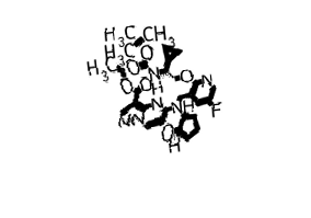 CCOC(=O)c1cnn2cc3c(nc12)N(Cc1cc(F)cnc1OC[C@H](NC(=O)OC(C)(C)C)C1CC1)[C@@H]1CCC[C@@H]1O3